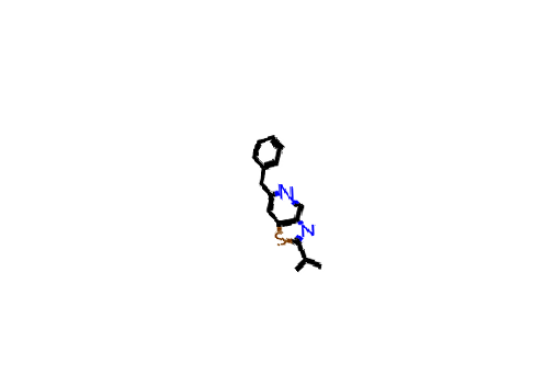 CC(C)c1nc2cnc(Cc3ccccc3)cc2s1